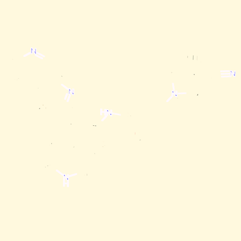 CC1(C#N)CN(CCC(=O)Nc2sc3c(c2-c2nc4cnccc4s2)CCNC3)C1